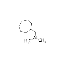 CN(C)CC1CCCCCC1